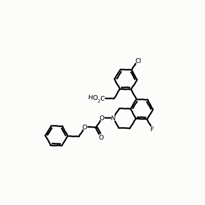 O=C(O)Cc1ccc(Cl)cc1-c1ccc(F)c2c1CN(OC(=O)OCc1ccccc1)CC2